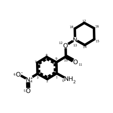 Nc1cc([N+](=O)[O-])ccc1C(=O)ON1CCCCC1